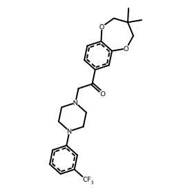 CC1(C)COc2ccc(C(=O)CN3CCN(c4cccc(C(F)(F)F)c4)CC3)cc2OC1